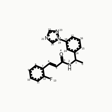 CC(NC(=O)C=Cc1ccccc1F)c1cccc(-n2cncn2)c1